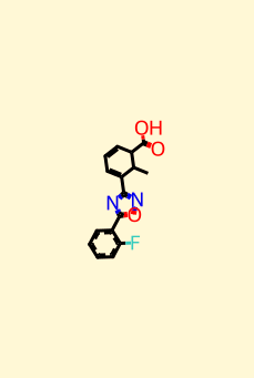 CC1C(c2noc(-c3ccccc3F)n2)=CC=CC1C(=O)O